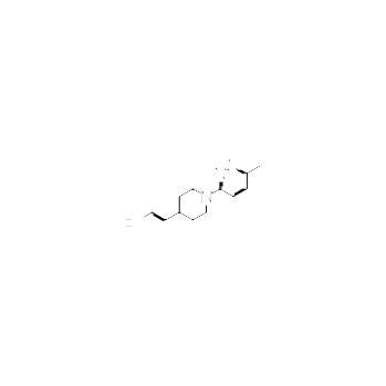 CC/C=C/C1CCN(c2ccc(C)nn2)CC1